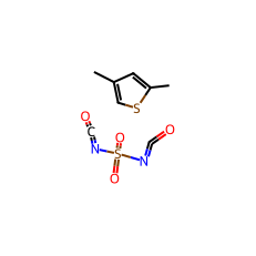 Cc1csc(C)c1.O=C=NS(=O)(=O)N=C=O